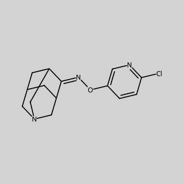 Clc1ccc(ON=C2C3CC4CC2CN(C4)C3)cn1